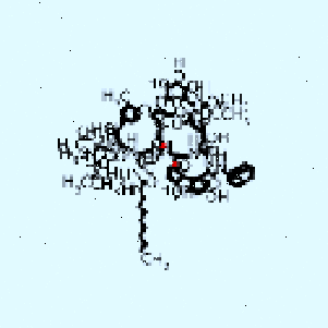 CCCCCCCCCNC(=O)NC(=O)C[C@@H]1NC(=O)[C@H](NC(=O)[C@@H](CC(C)C)N(C)C(=O)OC(C)(C)C)[C@H](O)c2ccc(c(C)c2)Oc2cc3cc(c2O[C@@H]2O[C@H](CNC(=O)OC(C)(C)C)[C@@H](O)[C@H](O)[C@H]2O)Oc2ccc(cc2Cl)[C@@H](O)[C@@H]2NC(=O)[C@H](NC(=O)[C@@H]3NC1=O)c1ccc(O)c(c1)-c1c(C)cc(O)cc1[C@@H](C(=O)NC1C3CC4CC(C3)CC1C4)NC2=O